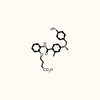 CCCc1ccc(CN(C)c2ccc(C(=O)Nc3ccccc3OCCCC(=O)O)c(C)c2)cc1